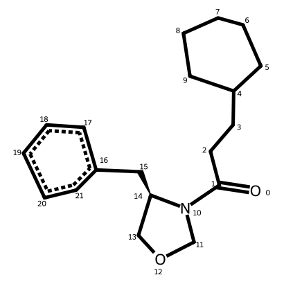 O=C(CCC1CCCCC1)N1COC[C@H]1Cc1ccccc1